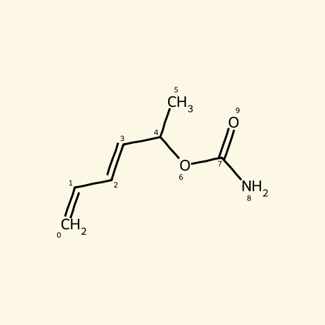 C=CC=CC(C)OC(N)=O